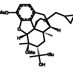 COc1ccc2c3c1O[C@H]1[C@](C)(OC)[C@@H](C(C)(O)C(C)(C)C)C[C@]4(C)[C@@H](C2)N(CC2CC2)CC[C@]314